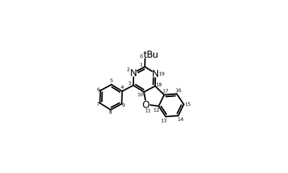 CC(C)(C)c1nc(-c2ccccc2)c2oc3ccccc3c2n1